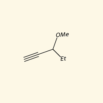 C#CC(CC)OC